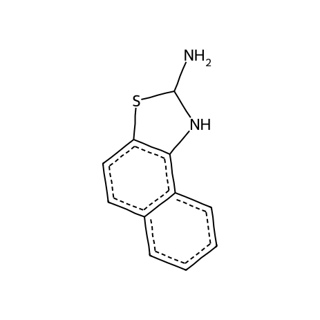 NC1Nc2c(ccc3ccccc23)S1